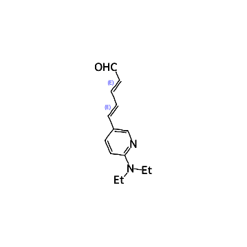 CCN(CC)c1ccc(/C=C/C=C/C=O)cn1